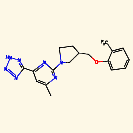 Cc1cc(-c2nn[nH]n2)nc(N2CCC(COc3ccccc3C(F)(F)F)C2)n1